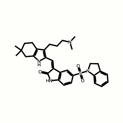 CN(C)CCCc1c(/C=C2\C(=O)Nc3ccc(S(=O)(=O)N4CCc5ccccc54)cc32)[nH]c2c1CCC(C)(C)C2